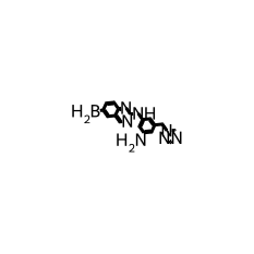 Bc1ccc2nc(Nc3cc(N)cc(Cn4cncn4)c3)ncc2c1